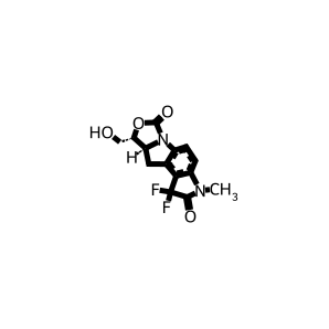 CN1C(=O)C(F)(F)c2c1ccc1c2C[C@H]2[C@H](CO)OC(=O)N12